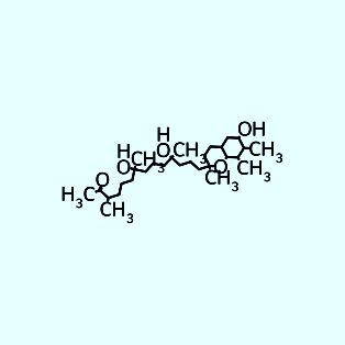 CC(=O)C(C)CCCC(C)(O)CCCC(C)(O)CCCC1(C)CCC2CC(O)C(C)C(C)C2O1